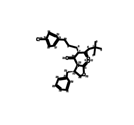 CC(C)(C)CC(=O)[C@@H](CCCc1ccc(Cl)cc1)C(=O)N1C(=O)OC[C@@H]1Cc1ccccc1